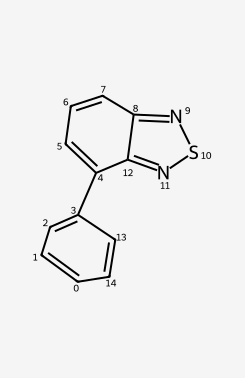 c1ccc(-c2cccc3nsnc23)cc1